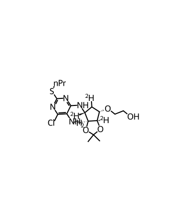 [2H]C1[C@H](OCCO)[C@@]2([2H])OC(C)(C)O[C@@]2([2H])[C@]1([2H])Nc1nc(SCCC)nc(Cl)c1N